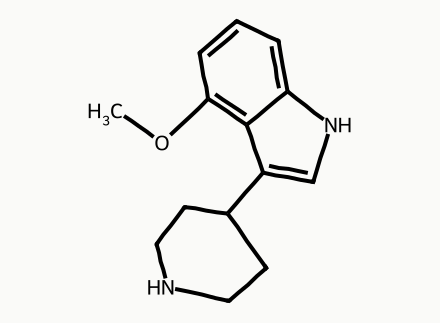 COc1cccc2[nH]cc(C3CCNCC3)c12